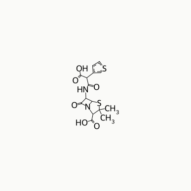 CC1(C)SC2C(NC(=O)C(C(=O)O)c3ccsc3)C(=O)N2C1C(=O)O